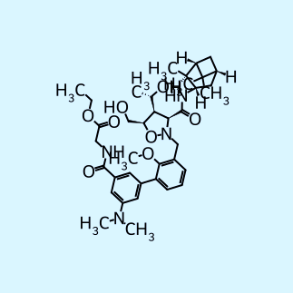 CCOC(=O)CNC(=O)c1cc(-c2cccc(CN3O[C@@H](CO)[C@@H]([C@H](C)O)[C@H]3C(=O)N[C@H]3C[C@H]4C[C@@H]([C@@H]3C)C4(C)C)c2OC)cc(N(C)C)c1